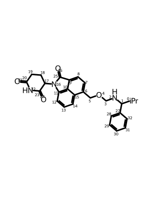 CC(C)C(NCOCc1ccc2c3c(cccc13)N(C1CCC(=O)NC1=O)C2=O)c1ccccc1